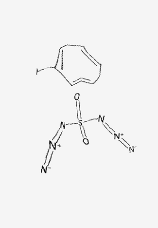 Ic1ccccc1.[N-]=[N+]=NS(=O)(=O)N=[N+]=[N-]